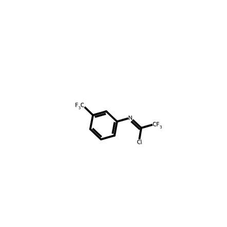 FC(F)(F)C(Cl)=Nc1cccc(C(F)(F)F)c1